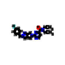 CCN(CC)C(=O)c1ccnc(N2Cc3cn(Cc4ccc(F)cc4)nc3C2)n1